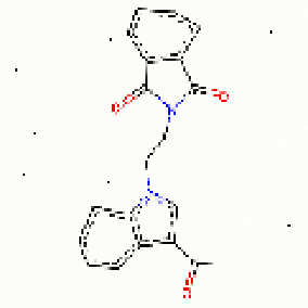 CC(=O)c1cn(CCN2C(=O)c3ccccc3C2=O)c2ccccc12